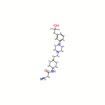 CC(C)(O)Cc1cccc(N2CCN(CCC3CCC(NC(=O)CC#N)CC3)CC2)c1